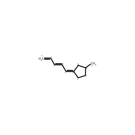 C=CC=CC=C1CCC(C)C1